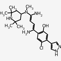 CN(/C(N)=C/C=C(\N)c1cc(Cl)c(-c2cn[nH]c2)cc1O)C1CC(C)(C)NC(C)(C)C1